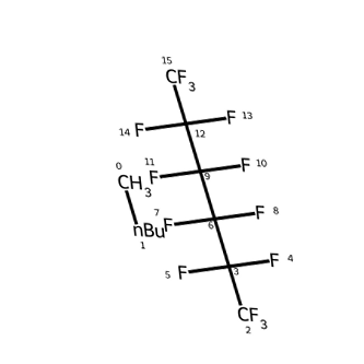 CCCCC.FC(F)(F)C(F)(F)C(F)(F)C(F)(F)C(F)(F)C(F)(F)F